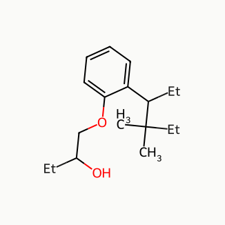 CCC(O)COc1ccccc1C(CC)C(C)(C)CC